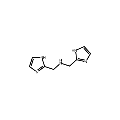 c1c[nH]c(CNCc2ncc[nH]2)n1